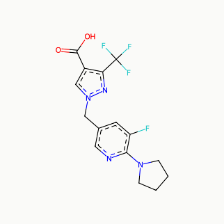 O=C(O)c1cn(Cc2cnc(N3CCCC3)c(F)c2)nc1C(F)(F)F